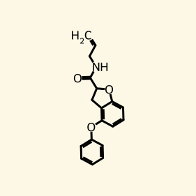 C=CCNC(=O)C1Cc2c(Oc3ccccc3)cccc2O1